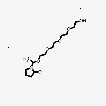 CC(OCCOCCOCCOCCO)N1CCCC1=O